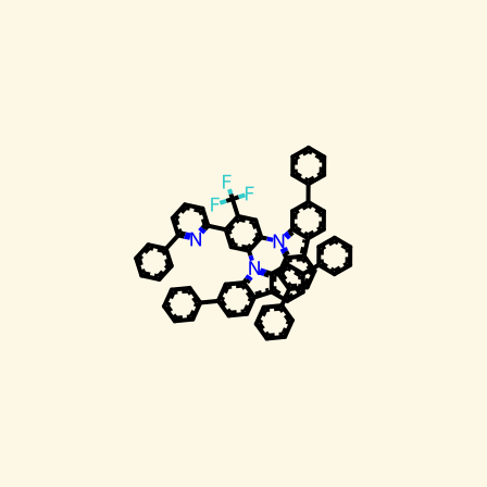 FC(F)(F)c1cc(-n2c3cc(-c4ccccc4)ccc3c3ccc(-c4ccccc4)cc32)c(-n2c3cc(-c4ccccc4)ccc3c3ccc(-c4ccccc4)cc32)cc1-c1cccc(-c2ccccc2)n1